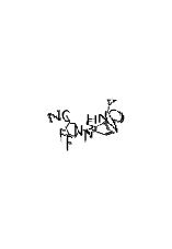 N#C[C@H]1CN(c2nc3ccnc(NC(=O)C4CC4)c3s2)CC(F)(F)C1